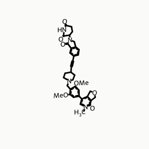 COc1cc(-c2cn(C)c(=O)c3c2COC3)cc(OC)c1CN1CCC(C#Cc2ccc3c(c2)C(=O)N(C2CCC(=O)NC2=O)C3)CC1